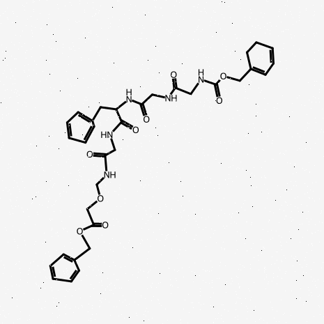 O=C(CNC(=O)OCC1=CC=CCC1)NCC(=O)NC(Cc1ccccc1)C(=O)NCC(=O)NCOCC(=O)OCc1ccccc1